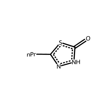 CCCc1n[nH]c(=O)s1